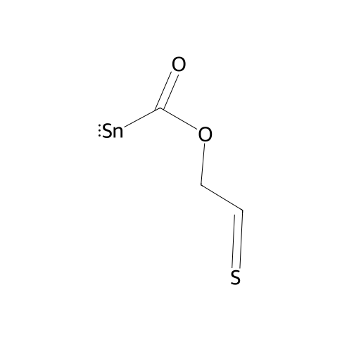 O=[C]([Sn])OCC=S